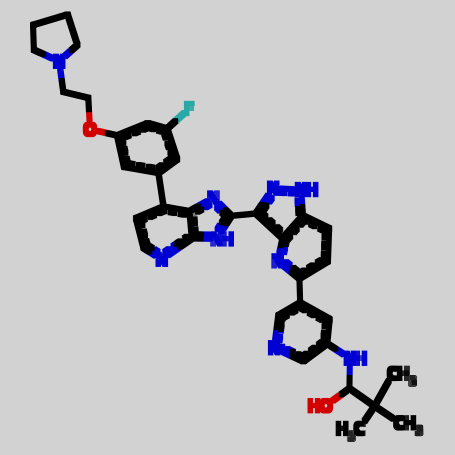 CC(C)(C)C(O)Nc1cncc(-c2ccc3[nH]nc(-c4nc5c(-c6cc(F)cc(OCCN7CCCC7)c6)ccnc5[nH]4)c3n2)c1